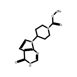 CC(C)(C)OC(=O)N1CCC(n2ccc3c(=O)[nH]cnc32)CC1